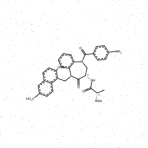 CN[C@@H](C)C(=O)N[C@H]1CN(C(=O)c2ccc(N)cc2)c2ccccc2N(Cc2c(OC)ccc3cc(C(=O)O)ccc23)C1=O